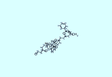 C=C(Br)C[C@@H](CC[C@@]12CC3O[C@@H]4[C@@H](O[C@H]5CC[C@H](CC=O)OC5[C@@H]4O1)[C@H]3O2)OC(=O)c1ccccc1